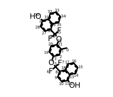 Cc1cc(OC(F)(F)c2ccc(O)c3ccccc23)ccc1OC(F)(F)c1ccc(O)c2ccccc12